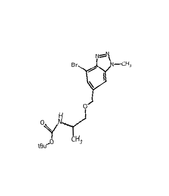 CC(COCc1cc(Br)c2nnn(C)c2c1)NC(=O)OC(C)(C)C